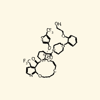 O=C1c2c(C(F)(F)F)ccnc2OCCCCC=CC[C@H]2N1CCC[C@@]2(Oc1csc(C(F)(F)F)c1)C(=O)N1CCN(c2ccccc2OCCO)CC1